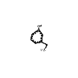 C[CH]c1cccc(O)c1